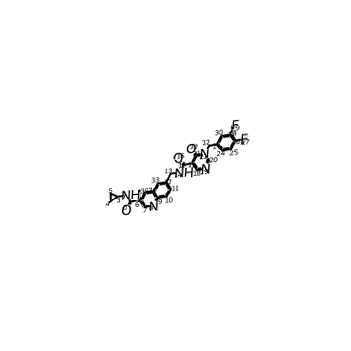 O=C(NC1CC1)c1cnc2ccc(CNC(=O)c3cncn(Cc4ccc(F)c(F)c4)c3=O)cc2c1